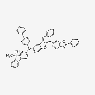 CC1(C)c2ccccc2-c2ccc(N(c3ccc(-c4ccccc4)cc3)c3ccc4oc5c(-c6ccc7nc(-c8ccccc8)oc7c6)c6ccccc6cc5c4c3)cc21